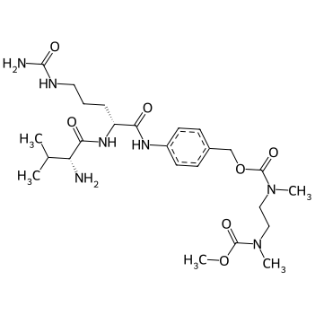 COC(=O)N(C)CCN(C)C(=O)OCc1ccc(NC(=O)[C@@H](CCCNC(N)=O)NC(=O)[C@H](N)C(C)C)cc1